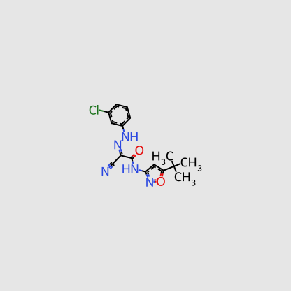 CC(C)(C)c1cc(NC(=O)/C(C#N)=N\Nc2cccc(Cl)c2)no1